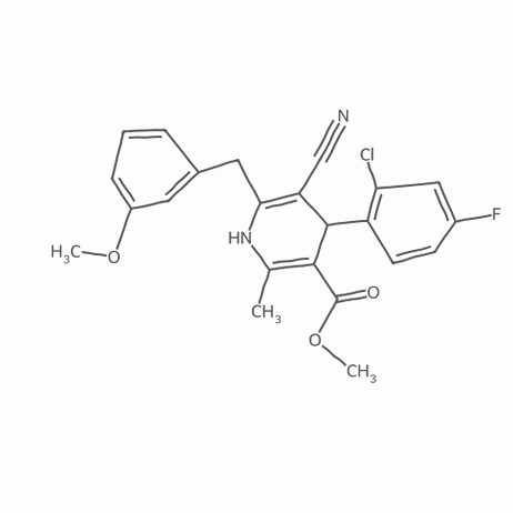 COC(=O)C1=C(C)NC(Cc2cccc(OC)c2)=C(C#N)C1c1ccc(F)cc1Cl